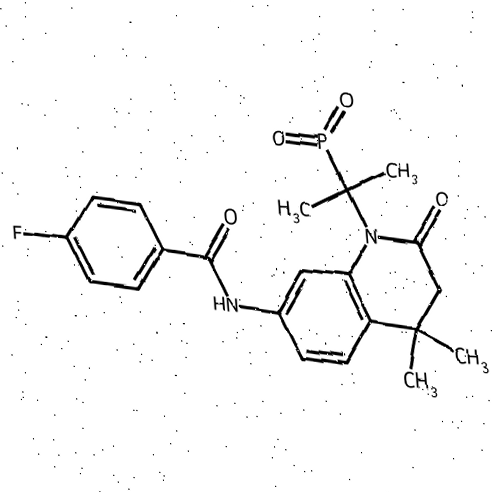 CC1(C)CC(=O)N(C(C)(C)P(=O)=O)c2cc(NC(=O)c3ccc(F)cc3)ccc21